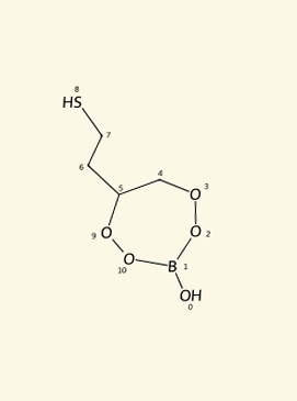 OB1OOCC(CCS)OO1